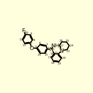 NN(c1ccc(Oc2ccc(F)cc2)cc1)c1ccccc1N1CCCCC1